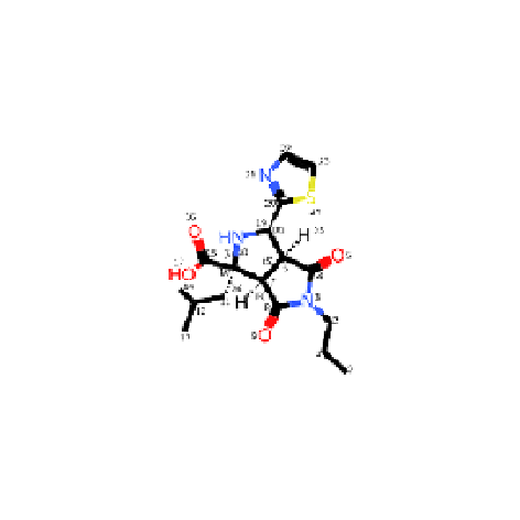 CCCN1C(=O)[C@H]2[C@@H](C1=O)[C@@](CC(C)C)(C(=O)O)N[C@H]2c1nccs1